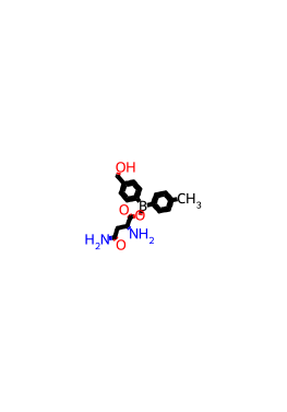 Cc1ccc(B(OC(=O)C(N)CC(N)=O)c2ccc(CO)cc2)cc1